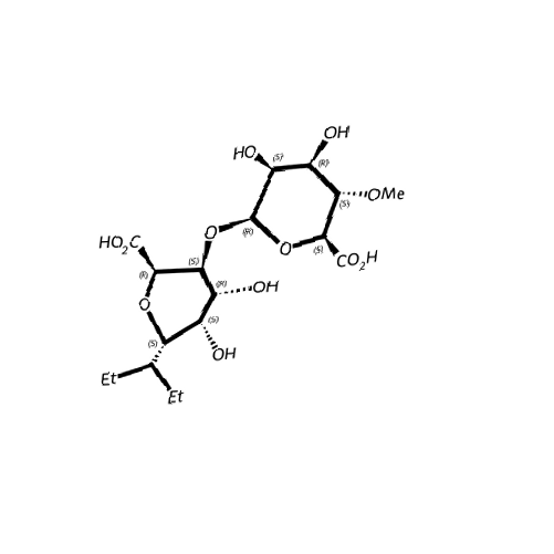 CCC(CC)[C@@H]1O[C@@H](C(=O)O)[C@@H](O[C@@H]2O[C@H](C(=O)O)[C@@H](OC)[C@H](O)[C@@H]2O)[C@H](O)[C@@H]1O